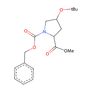 COC(=O)C1CC(OC(C)(C)C)CN1C(=O)OCc1ccccc1